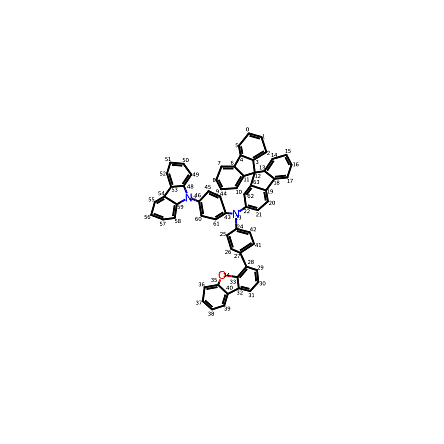 c1ccc2c(c1)-c1ccccc1C21c2ccccc2-c2ccc(N(c3ccc(-c4cccc5c4oc4ccccc45)cc3)c3ccc(-n4c5ccccc5c5ccccc54)cc3)cc21